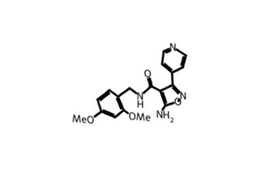 COc1ccc(CNC(=O)c2c(-c3ccncc3)noc2N)c(OC)c1